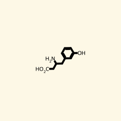 NC(CC(=O)O)Cc1cccc(O)c1